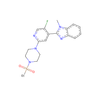 CCS(=O)(=O)N1CCN(c2cc(-c3nc4ccccc4n3C)c(F)cn2)CC1